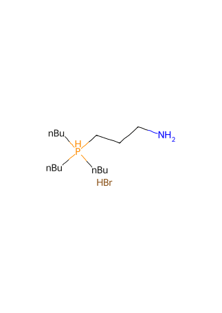 Br.CCCC[PH](CCCC)(CCCC)CCCN